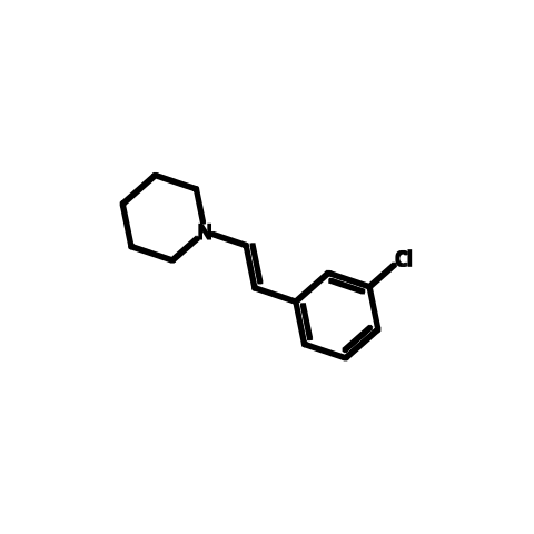 Clc1cccc(C=CN2CCCCC2)c1